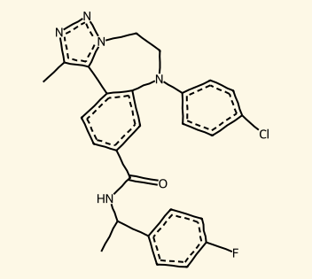 Cc1nnn2c1-c1ccc(C(=O)NC(C)c3ccc(F)cc3)cc1N(c1ccc(Cl)cc1)CC2